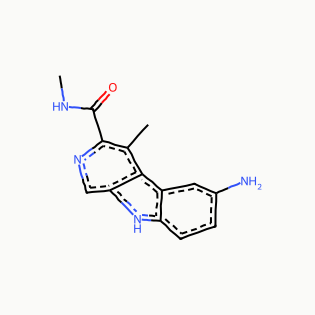 CNC(=O)c1ncc2[nH]c3ccc(N)cc3c2c1C